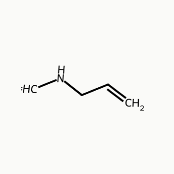 [CH]NCC=C